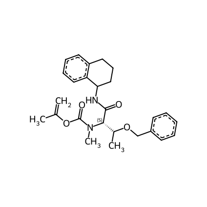 C=C(C)OC(=O)N(C)[C@H](C(=O)NC1CCCc2ccccc21)C(C)OCc1ccccc1